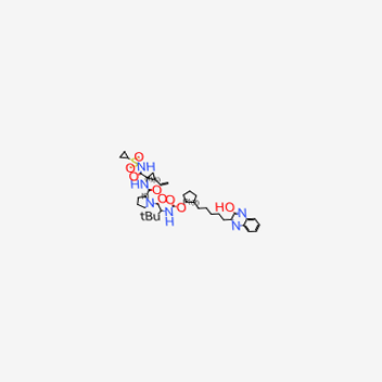 C=C[C@@H]1C[C@]1(NC(=O)[C@@H]1CCCN1C(=O)C(NC(=O)O[C@@H]1CCC[C@H]1CCCCCc1nc2ccccc2nc1O)C(C)(C)C)C(=O)NS(=O)(=O)C1CC1